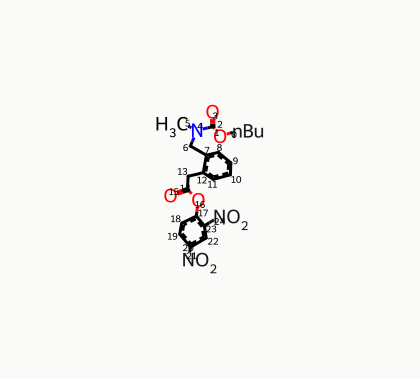 CCCCOC(=O)N(C)Cc1ccccc1CC(=O)Oc1ccc([N+](=O)[O-])cc1[N+](=O)[O-]